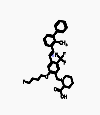 Cc1c(/C=C/c2cc(OCCCCF)c(CN3CCCCC3C(=O)O)cc2C(F)(F)F)cccc1-c1ccccc1